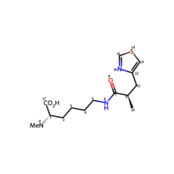 CN[C@@H](CCCCNC(=O)[C@H](C)Cc1cscn1)C(=O)O